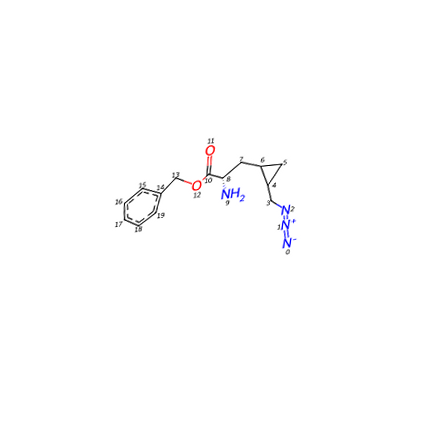 [N-]=[N+]=NCC1CC1C[C@H](N)C(=O)OCc1ccccc1